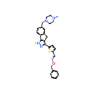 CN1CCN(Cc2ccc3c(c2)Cc2c(-c4ccc(C=NOCc5ccccc5)s4)n[nH]c2-3)CC1